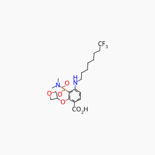 CN(C)S(=O)(=O)c1c(NCCCCCCCC(F)(F)F)ccc(C(=O)O)c1OC1COC1